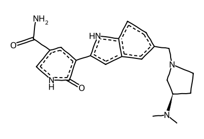 CN(C)[C@@H]1CCN(Cc2ccc3[nH]c(-c4cc(C(N)=O)c[nH]c4=O)cc3c2)C1